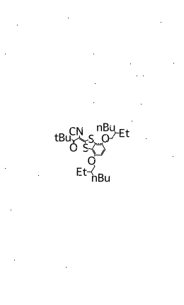 CCCCC(CC)COc1ccc(OCC(CC)CCCC)c2c1SC(=C(C#N)C(=O)C(C)(C)C)S2